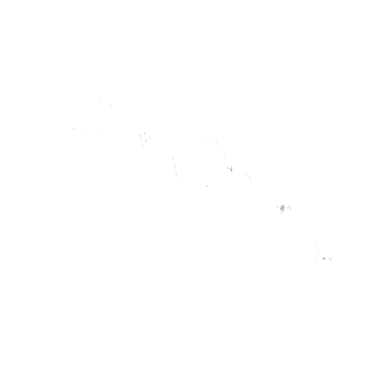 Cc1cc(C)cc(/C=C/C2CCN(C(=O)CNCCO)CC2)c1